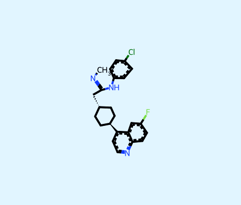 C/N=C(/C[C@H]1CC[C@H](c2ccnc3ccc(F)cc32)CC1)Nc1ccc(Cl)cc1